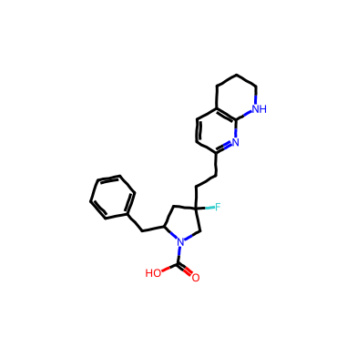 O=C(O)N1CC(F)(CCc2ccc3c(n2)NCCC3)CC1Cc1ccccc1